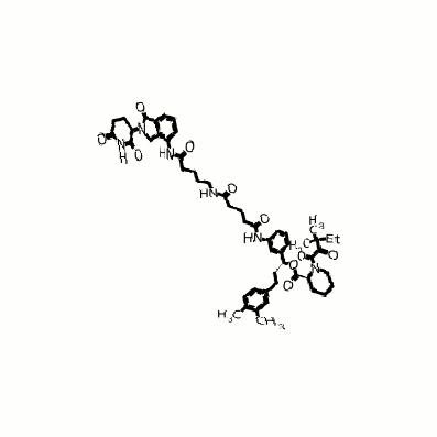 CCC(C)(C)C(=O)C(=O)N1CCCC[C@H]1C(=O)O[C@H](CCc1ccc(C)c(C)c1)c1cccc(NC(=O)CCCC(=O)NCCCCC(=O)Nc2cccc3c2CN(C2CCC(=O)NC2=O)C3=O)c1